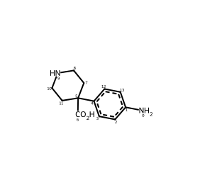 Nc1ccc(C2(C(=O)O)CCNCC2)cc1